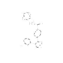 Cc1cnc(CNC(=O)c2ccc(-c3noc(C)c3-c3cccc(F)c3)cc2)cn1